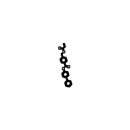 C=CC(=O)OCc1ccc(C(=O)Oc2ccc(-c3ccccc3)cc2)cc1